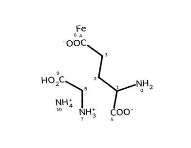 NC(CCC(=O)[O-])C(=O)[O-].[Fe].[NH3+]CC(=O)O.[NH4+]